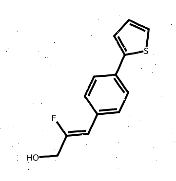 OCC(F)=Cc1ccc(-c2cccs2)cc1